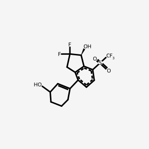 O=S(=O)(c1ccc(C2=CC(O)CCC2)c2c1[C@H](O)C(F)(F)C2)C(F)(F)F